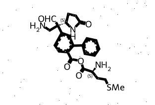 CSCC[C@H](N)C(=O)OC(=O)c1ccc(C(C=O)(CN)[C@@H]2CCC(=O)N2)cc1-c1ccccc1